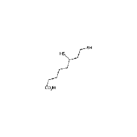 CCOC(=O)CCCCC(S)CCS